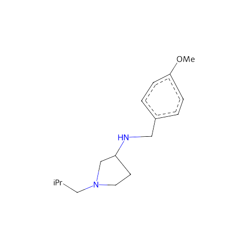 COc1ccc(CNC2CCN(CC(C)C)C2)cc1